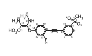 CS(=O)(=O)c1cccc(C#Cc2ccc(O/C(NN)=C(/N)C(=O)O)cc2F)c1